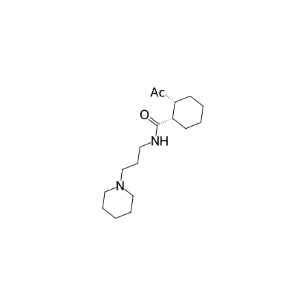 CC(=O)[C@@H]1CCCC[C@@H]1C(=O)NCCCN1CCCCC1